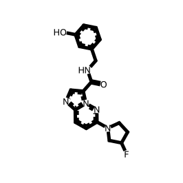 O=C(NCc1cccc(O)c1)c1cnc2ccc(N3CCC(F)C3)nn12